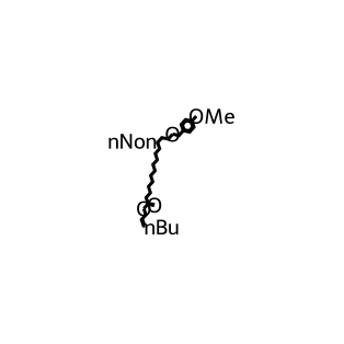 CCCC/C=C\COC(=O)CCCCCCCCCCC(CCCCCCCCC)CCOCc1ccc(OC)cc1